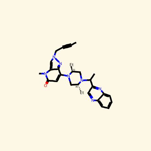 CC#CCn1cc2c(n1)c(N1C[C@@H](CC)N(C(C)c3cnc4ccccc4n3)C[C@@H]1CC)cc(=O)n2C